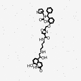 O=C(NCCCCNCC(O)c1ccc(O)c2[nH]c(=O)ccc12)c1coc(COc2cccc([C@H](c3ccccc3)N(C(=O)O)C3CN4CCC3CC4)c2)n1